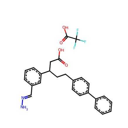 NN=Cc1cccc(C(CCc2ccc(-c3ccccc3)cc2)CC(=O)O)c1.O=C(O)C(F)(F)F